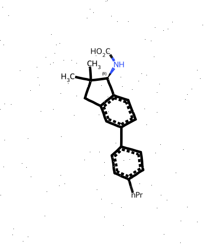 CCCc1ccc(-c2ccc3c(c2)CC(C)(C)[C@H]3NC(=O)O)cc1